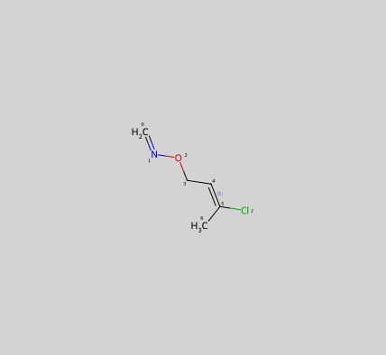 C=NOC/C=C(\C)Cl